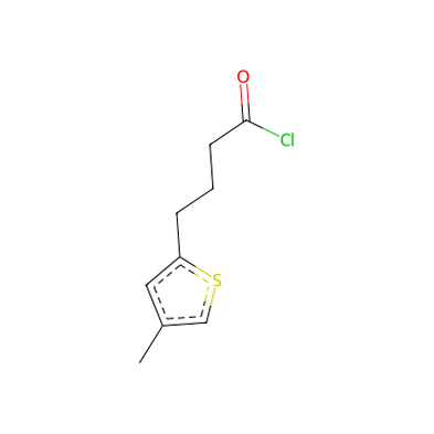 Cc1csc(CCCC(=O)Cl)c1